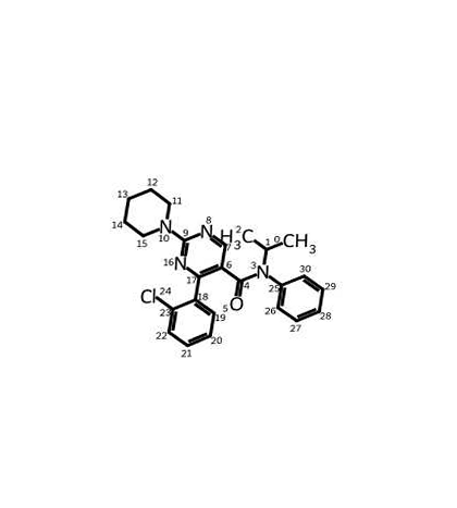 CC(C)N(C(=O)c1cnc(N2CCCCC2)nc1-c1ccccc1Cl)c1ccccc1